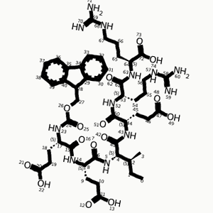 CC[C@H](C)[C@H](NC(=O)[C@H](CCC(=O)O)NC(=O)[C@H](CCC(=O)O)NC(=O)OCC1c2ccccc2-c2ccccc21)C(=O)N[C@@H](CCC(=O)O)C(=O)N[C@@H](CCCNC(=N)N)C(=O)N[C@@H](CCCNC(=N)N)C(=O)O